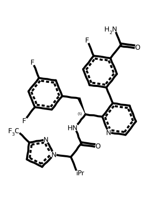 CC(C)C(C(=O)N[C@@H](Cc1cc(F)cc(F)c1)c1ncccc1-c1ccc(F)c(C(N)=O)c1)n1ccc(C(F)(F)F)n1